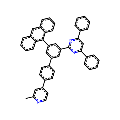 Cc1cc(-c2ccc(-c3cc(-c4nc(-c5ccccc5)cc(-c5ccccc5)n4)cc(-c4c5ccccc5cc5ccccc45)c3)cc2)ccn1